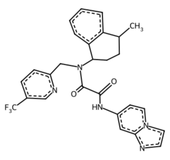 CC1CCC(N(Cc2ccc(C(F)(F)F)cn2)C(=O)C(=O)Nc2ccn3ccnc3c2)c2ccccc21